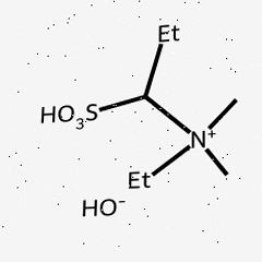 CCC([N+](C)(C)CC)S(=O)(=O)O.[OH-]